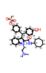 CN(C)CCn1c(C(=O)NC2CCCCCC2)c(C(c2ccc(O)cc2)c2ccc(OS(C)(=O)=O)cc2)c2ccccc21